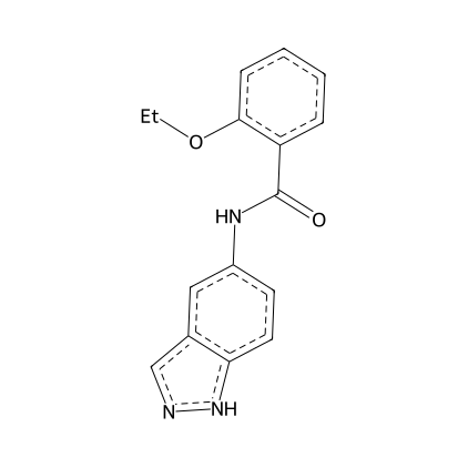 CCOc1ccccc1C(=O)Nc1ccc2[nH]ncc2c1